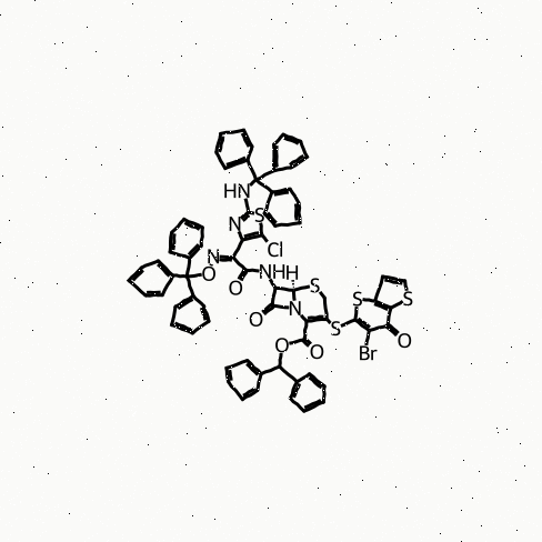 O=C(OC(c1ccccc1)c1ccccc1)C1=C(Sc2sc3ccsc3c(=O)c2Br)CS[C@@H]2C(NC(=O)/C(=N\OC(c3ccccc3)(c3ccccc3)c3ccccc3)c3nc(NC(c4ccccc4)(c4ccccc4)c4ccccc4)sc3Cl)C(=O)N12